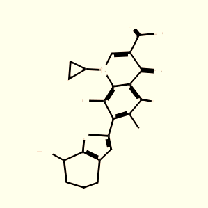 Cc1c(F)c(-c2cc3c(s2)C(O)CCC3)c(C)c2c1c(=O)c(C(=O)O)cn2C1CC1